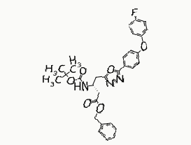 CC(C)(C)OC(=O)N[C@@H](CC(=O)OCc1ccccc1)Cc1nnc(-c2ccc(Oc3ccc(F)cc3)cc2)o1